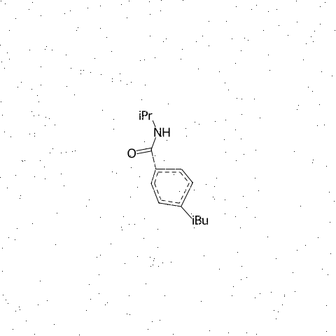 CCC(C)c1ccc(C(=O)NC(C)C)cc1